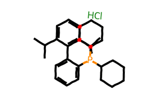 CC(C)c1cccc(C(C)C)c1-c1ccccc1P(C1CCCCC1)C1CCCCC1.Cl